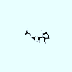 COc1cccc(O)c1-c1nnc(SCC(C)=O)[nH]1